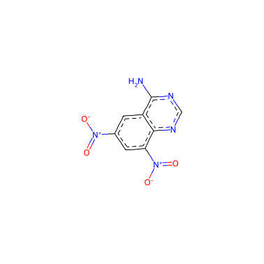 Nc1ncnc2c([N+](=O)[O-])cc([N+](=O)[O-])cc12